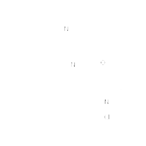 ClN1CC(Oc2cnc3ccccc3n2)C1